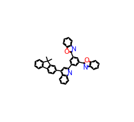 CC1(C)c2ccccc2-c2ccc(-c3cc(-c4cc(-c5nc6ccccc6o5)cc(-c5nc6ccccc6o5)c4)nc4ccccc34)cc21